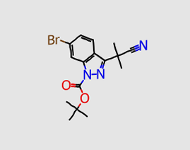 CC(C)(C)OC(=O)n1nc(C(C)(C)C#N)c2ccc(Br)cc21